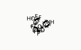 O=C(O)C(F)(F)F.O=C(OC(C(F)(F)F)C(F)(F)F)N1CCNCC1